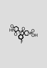 O=C1CCC(N2C(=O)C3(CCN(C(=O)O)CC3)c3cc(F)ccc32)C(=O)N1